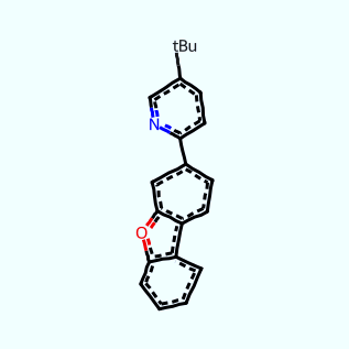 CC(C)(C)c1ccc(-c2ccc3c(c2)oc2ccccc23)nc1